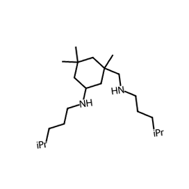 CC(C)CCCNCC1(C)CC(NCCCC(C)C)CC(C)(C)C1